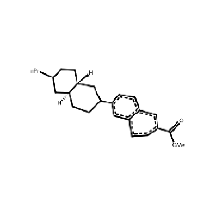 CCCC1CC[C@@H]2CC(c3ccc4cc(C(=O)OC)ccc4c3)CC[C@H]2C1